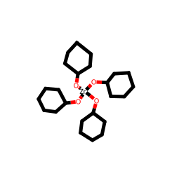 C1CCC([O][Zr]([O]C2CCCCC2)([O]C2CCCCC2)[O]C2CCCCC2)CC1